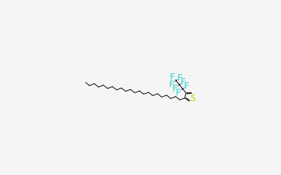 CCCCCCCCCCCCCCCCCCCCCCc1cscc1C(F)(F)C(F)(F)C(F)(F)F